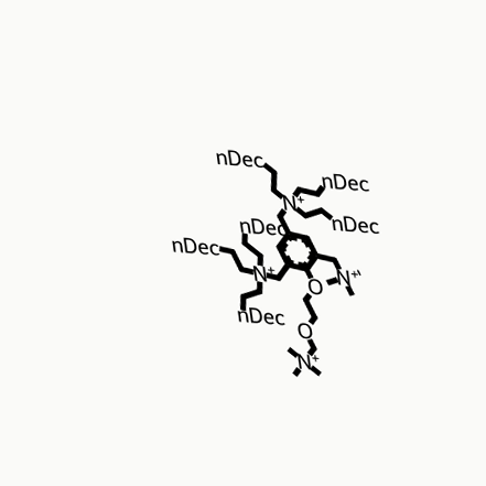 CCCCCCCCCCCC[N+](CCCCCCCCCCCC)(CCCCCCCCCCCC)Cc1cc(C[N+](C)(C)C)c(OCCOC[N+](C)(C)C)c(C[N+](CCCCCCCCCCCC)(CCCCCCCCCCCC)CCCCCCCCCCCC)c1